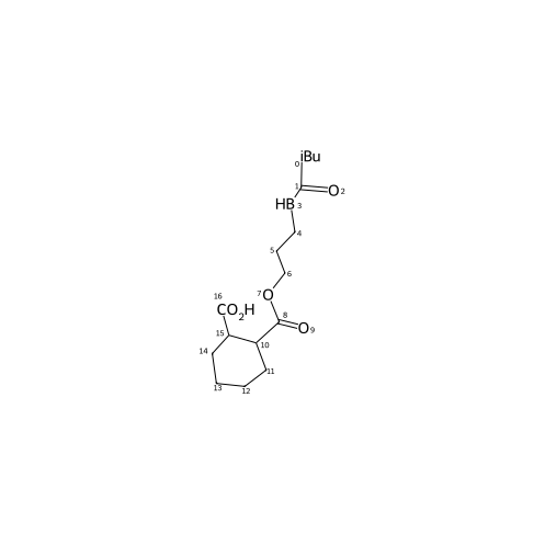 CCC(C)C(=O)BCCCOC(=O)C1CCCCC1C(=O)O